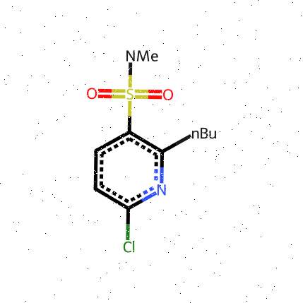 CCCCc1nc(Cl)ccc1S(=O)(=O)NC